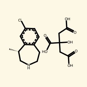 C[C@H]1CNCCc2ccc(Cl)cc21.O=C(O)CC(O)(CC(=O)O)C(=O)O